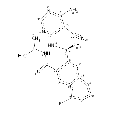 CC(C)NC(=O)c1cc2c(F)cccc2nc1[C@H](C)Nc1ncnc(N)c1C#N